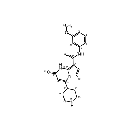 COc1cccc(NC(=O)c2cnn3c(C4CCNCC4)cc(=O)[nH]c23)c1